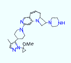 COC1(n2ncc(C)c2C2CCN(c3cc4c(cn3)C=CCC3C(N5CCNCC5)CN43)CC2)CC1